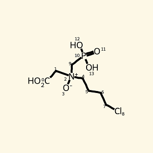 O=C(O)C[N+]([O-])(CCCCCl)CP(=O)(O)O